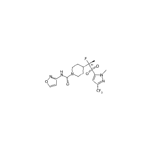 Cn1nc(C(F)(F)F)cc1S(=O)(=O)[C@@](C)(F)C1CCN(C(=O)Nc2ccon2)CC1